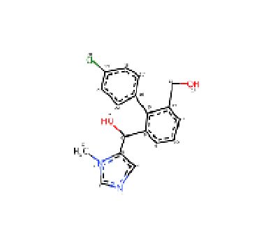 Cn1cncc1C(O)c1cccc(CO)c1-c1ccc(Cl)cc1